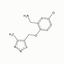 Cc1nnsc1COc1ccc(Cl)cc1CN